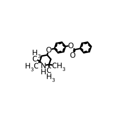 CC1(C)CC(Oc2ccc(OC(=O)c3ccccc3)cc2)CC(C)(C)N1